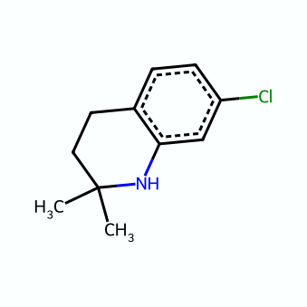 CC1(C)CCc2ccc(Cl)cc2N1